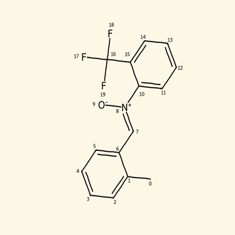 Cc1ccccc1C=[N+]([O-])c1ccccc1C(F)(F)F